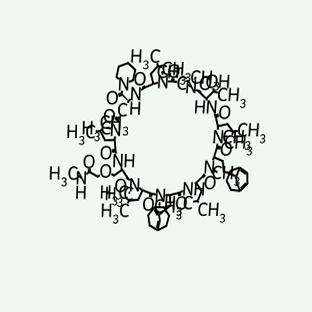 CNC(=O)COCC1NC(=O)C(CC(C)C)N(C)C(=O)C[C@@H](C(=O)N2CCCCC2)NC(=O)C(CC(C)C)N(C)C(=O)CN(C)C(=O)C(C(C)O)NC(=O)C(CC(C)C)N(C)C(=O)C(CCC2CC3=CC=C2CCC3)N(C)C(=O)C(CC(C)C)NC(=O)C(CC2=C3CCCC(=C2)CC3)N(C)C(=O)C(CC(C)C)N(C)C1=O